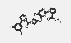 NC(=O)c1cccn1-c1ncc(F)c(OC2CN(C(=O)N3N=CCC3c3cc(F)cc(F)c3)C2)n1